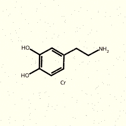 NCCc1ccc(O)c(O)c1.[Cr]